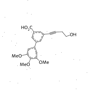 COc1cc(-c2cc(C#CCCO)cc(C(=O)O)c2)cc(OC)c1OC